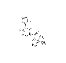 CC(C)(C)OC(=O)N1CCNC(c2ccco2)C1